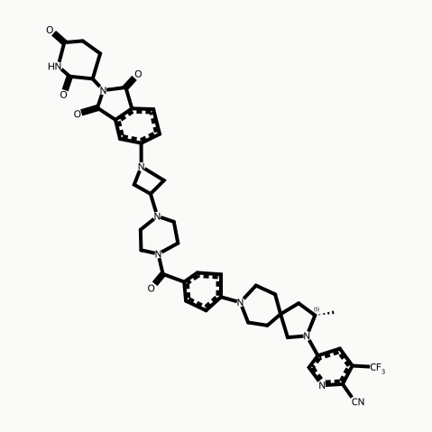 C[C@H]1CC2(CCN(c3ccc(C(=O)N4CCN(C5CN(c6ccc7c(c6)C(=O)N(C6CCC(=O)NC6=O)C7=O)C5)CC4)cc3)CC2)CN1c1cnc(C#N)c(C(F)(F)F)c1